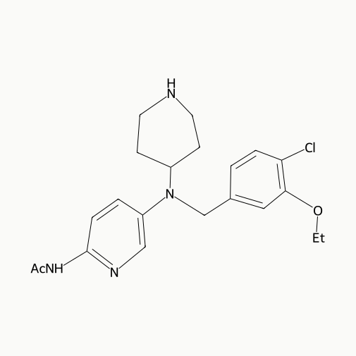 CCOc1cc(CN(c2ccc(NC(C)=O)nc2)C2CCNCC2)ccc1Cl